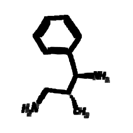 C[C@H](CN)[C@H](N)c1ccccc1